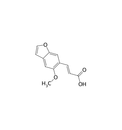 COc1cc2ccoc2cc1/C=C/C(=O)O